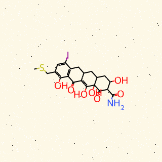 CSCc1cc(I)c2c(c1O)C(=O)C1=C(O)C3(O)C(=O)C(C(N)=O)C(O)CC3CC1C2